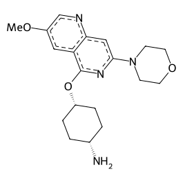 COc1cnc2cc(N3CCOCC3)nc(O[C@H]3CC[C@@H](N)CC3)c2c1